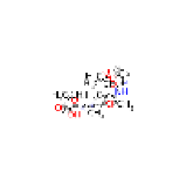 CC(/C=C/[C@H]1OC(C)(C)C[C@@]2(CO2)[C@@H]1O)=C\C[C@@H]1O[C@H](C)[C@H](NC(=O)/C=C\[C@H](C)OC(=O)C(C)(C)C)C[C@@H]1C